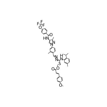 COc1ccc(/C=C/C(=O)OCS/C(=N/N=C/c2ccc(-n3cc(NC(=O)c4ccc(OC(F)(F)F)cc4)c(C)n3)cc2C)Nc2cc(C)ccc2C(C)C)cc1